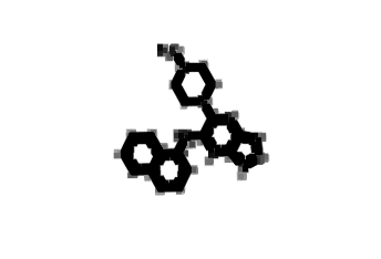 CN1CCN(c2nc3nonc3nc2Nc2cccc3ccccc23)CC1